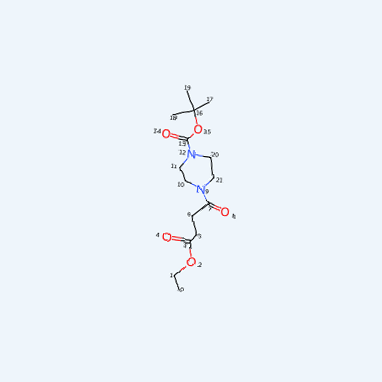 CCOC(=O)CCC(=O)N1CCN(C(=O)OC(C)(C)C)CC1